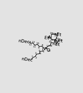 CCCCCCCCCCCCCCCCN(CCCCCCCCCCCCCCCC)C(=O)CCCCC1(N(CC)CC)CN(CC)CCN(CC)C1